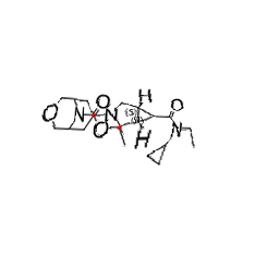 CCOC(=O)N1C2COCC1CC(N1C[C@@H]3C(C(=O)N(CC)C4CC4)[C@@H]3C1)C2